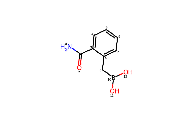 NC(=O)c1ccccc1CB(O)O